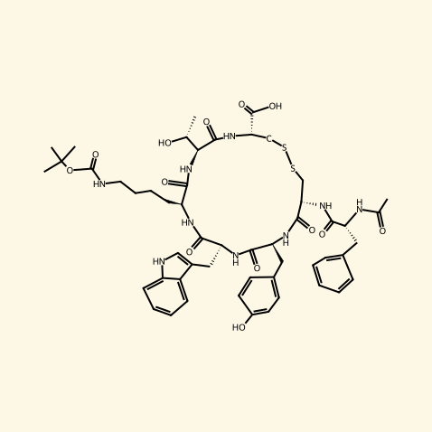 CC(=O)N[C@H](Cc1ccccc1)C(=O)N[C@H]1CSSC[C@@H](C(=O)O)NC(=O)[C@H]([C@@H](C)O)NC(=O)[C@H](CCCCNC(=O)OC(C)(C)C)NC(=O)[C@@H](Cc2c[nH]c3ccccc23)NC(=O)[C@H](Cc2ccc(O)cc2)NC1=O